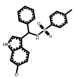 Cc1ccc(S(=O)(=O)NC(c2ccccc2)c2c[nH]c3cc(Cl)ccc23)cc1